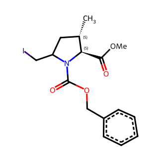 COC(=O)[C@@H]1[C@@H](C)CC(CI)N1C(=O)OCc1ccccc1